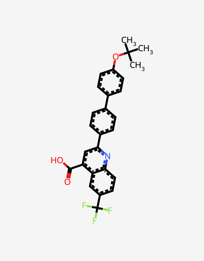 CC(C)(C)Oc1ccc(-c2ccc(-c3cc(C(=O)O)c4cc(C(F)(F)F)ccc4n3)cc2)cc1